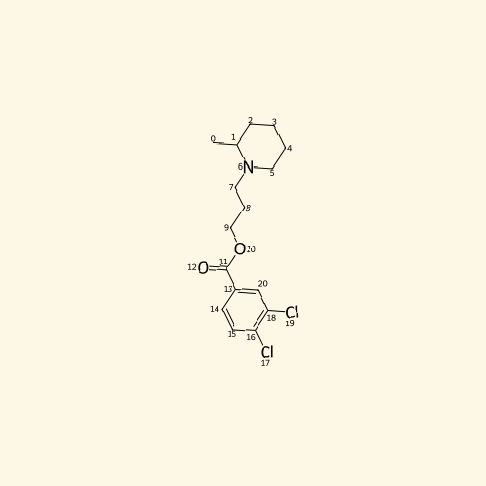 CC1CCCCN1CCCOC(=O)c1ccc(Cl)c(Cl)c1